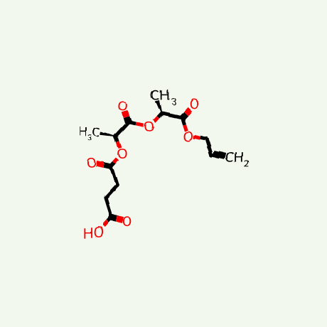 C=CCOC(=O)[C@H](C)OC(=O)[C@H](C)OC(=O)CCC(=O)O